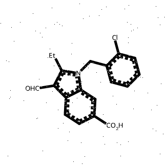 CCc1c(C=O)c2ccc(C(=O)O)cc2n1Cc1ccccc1Cl